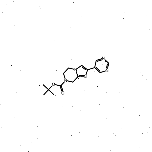 CC(C)(C)OC(=O)N1CCn2cc(-c3cncnc3)nc2C1